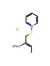 CC=C(CCCCC)CS[n+]1ccccc1.[Cl-]